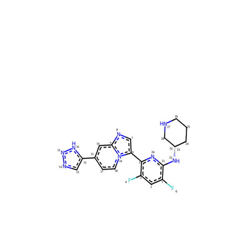 Fc1cc(F)c(-c2cnc3cc(-c4cnn[nH]4)ccn23)nc1N[C@H]1CCCNC1